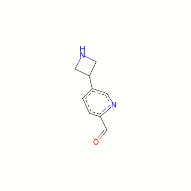 O=Cc1ccc(C2CNC2)cn1